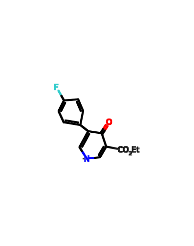 CCOC(=O)C1=C[N]C=C(c2ccc(F)cc2)C1=O